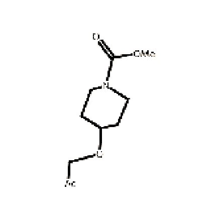 COC(=O)N1CCC(OCC(C)=O)CC1